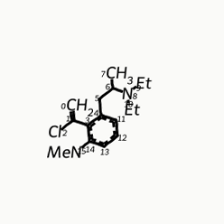 C=C(Cl)c1c(CC(C)N(CC)CC)cccc1NC